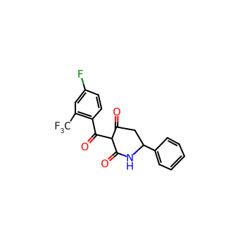 O=C1CC(c2ccccc2)NC(=O)C1C(=O)c1ccc(F)cc1C(F)(F)F